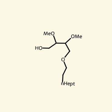 CCCCCCCCCOCC(OC)C(CO)OC